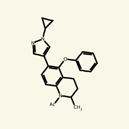 CC(=O)N1c2ccc(-c3cnn(C4CC4)c3)c(Oc3ccccc3)c2CCC1C